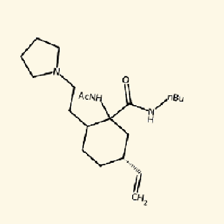 C=C[C@@H]1CCC(CCN2CCCC2)C(NC(C)=O)(C(=O)NCCCC)C1